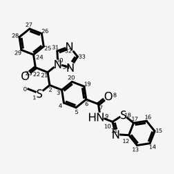 CSC(c1ccc(C(=O)Nc2nc3ccccc3s2)cc1)C(C(=O)c1ccccc1)n1cncn1